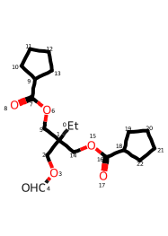 CCC(COC=O)(COC(=O)C1CCCC1)COC(=O)C1CCCC1